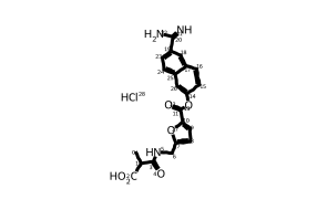 CC(C(=O)O)C(=O)NCc1ccc(C(=O)Oc2ccc3cc(C(=N)N)ccc3c2)o1.Cl